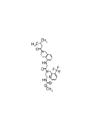 COC(=O)NCCN(Cc1ncccc1C(F)(F)F)C(=O)CNc1cccc2c1CCN(C(=O)CC(C)C)C2